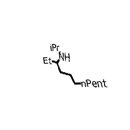 CCCCCCCCC(CC)NC(C)C